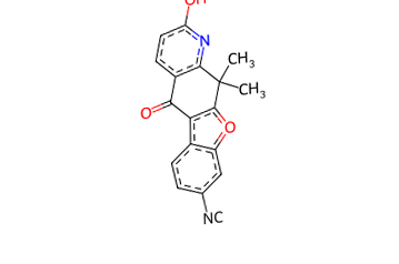 [C-]#[N+]c1ccc2c3c(oc2c1)C(C)(C)c1nc(O)ccc1C3=O